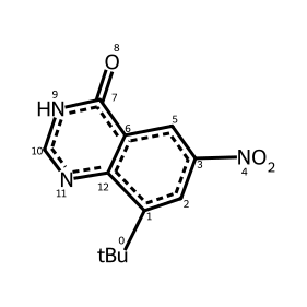 CC(C)(C)c1cc([N+](=O)[O-])cc2c(=O)[nH]cnc12